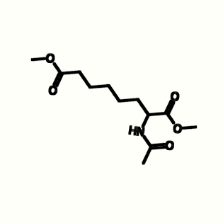 COC(=O)CCCCCC(NC(C)=O)C(=O)OC